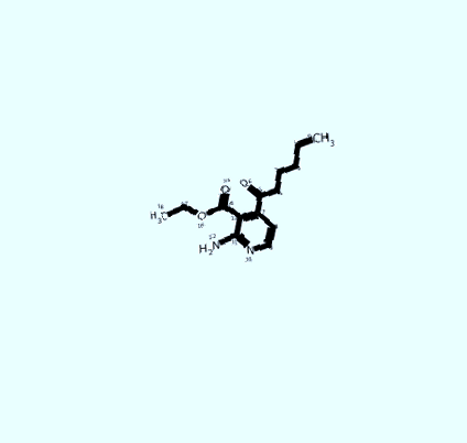 CCCCCC(=O)c1ccnc(N)c1C(=O)OCC